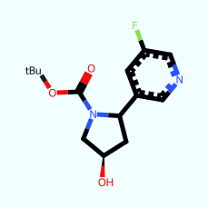 CC(C)(C)OC(=O)N1C[C@H](O)CC1c1cncc(F)c1